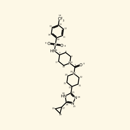 O=C(N1CCC(NS(=O)(=O)c2ccc(C(F)(F)F)cc2)CC1)N1CCC(c2nnc(C3CC3)[nH]2)CC1